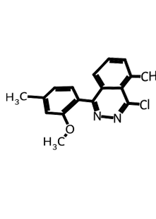 COc1cc(C)ccc1-c1nnc(Cl)c2c(C)cccc12